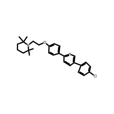 CC1(C)CCCC(C)(C)N1CCOc1ccc(-c2ccc(-c3ccc(Cl)cc3)cn2)cc1